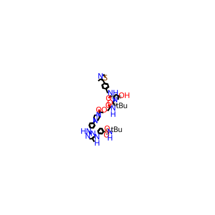 Cc1cnc(Nc2ccc(N3CCN(C(=O)COCC(=O)N[C@H](C(=O)N4C[C@H](O)C[C@H]4C(=O)NCc4ccc(-c5scnc5C)cc4)C(C)(C)C)CC3)cc2)nc1Nc1cccc(S(=O)(=O)NC(C)(C)C)c1